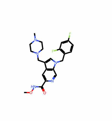 CONC(=O)c1cc2c(CN3CCN(C)CC3)cn(Cc3ccc(F)cc3F)c2cn1